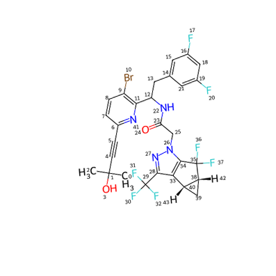 CC(C)(O)C#Cc1ccc(Br)c(C(Cc2cc(F)cc(F)c2)NC(=O)Cn2nc(C(F)(F)F)c3c2C(F)(F)[C@@H]2C[C@H]32)n1